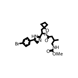 COC(=O)NCC(C)CC(=O)N1OC2(CCC2)CC1c1ncc(-c2ccc(Br)cc2)[nH]1